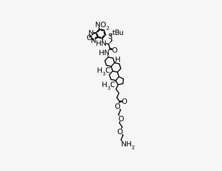 CC(C)(C)SC[C@H](Nc1ccc([N+](=O)[O-])c2nonc12)C(=O)N[C@@H]1CC[C@]2(C)C3CC[C@]4(C)C(CCCC(=O)OCCOCCOCCN)CCC4C3CC[C@@H]2C1